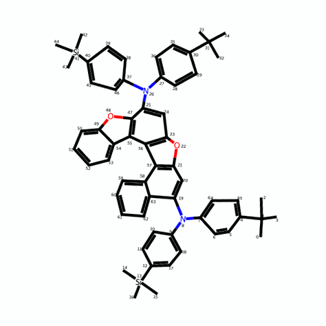 CC(C)(C)c1ccc(N(c2ccc([Si](C)(C)C)cc2)c2cc3oc4cc(N(c5ccc(C(C)(C)C)cc5)c5ccc([Si](C)(C)C)cc5)c5oc6ccccc6c5c4c3c3ccccc23)cc1